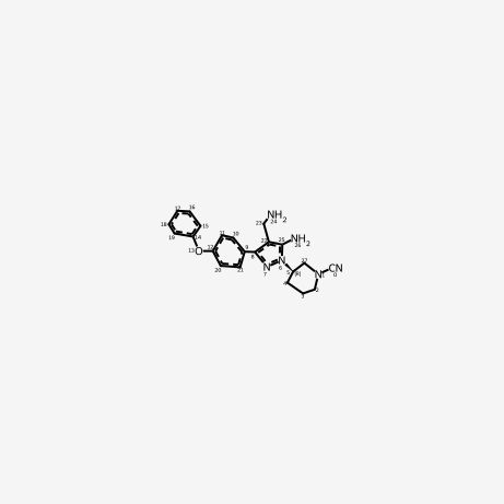 N#CN1CCC[C@@H](n2nc(-c3ccc(Oc4ccccc4)cc3)c(CN)c2N)C1